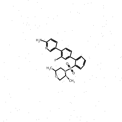 CC1CN(S(=O)(=O)c2ccccc2-c2ccc(-c3ccc(N)nc3)c(F)c2)[C@@H](C)CO1